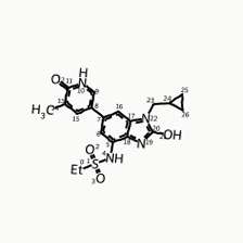 CCS(=O)(=O)Nc1cc(-c2c[nH]c(=O)c(C)c2)cc2c1nc(O)n2CC1CC1